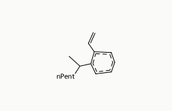 C=Cc1ccccc1C(C)CCCCC